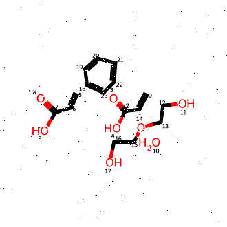 C=CC(=O)O.C=CC(=O)O.O.OCCOCCO.c1ccccc1